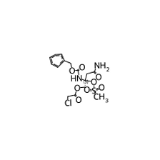 CS(=O)(=O)O[C@](COC(=O)CCl)(CC(N)=O)NC(=O)OCc1ccccc1